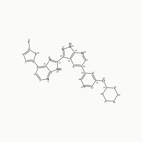 Fc1ccc(-c2ccnc3[nH]c(-c4n[nH]c5ncc(-c6cncc(OC7CCCCC7)c6)cc45)nc23)s1